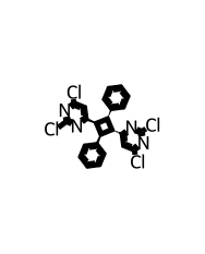 Clc1cc([C@H]2[C@H](c3ccccc3)[C@H](c3cc(Cl)nc(Cl)n3)[C@H]2c2ccccc2)nc(Cl)n1